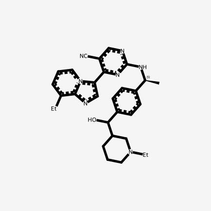 CCc1cccn2c(-c3nc(N[C@@H](C)c4ccc(C(O)C5CCCN(CC)C5)cc4)ncc3C#N)cnc12